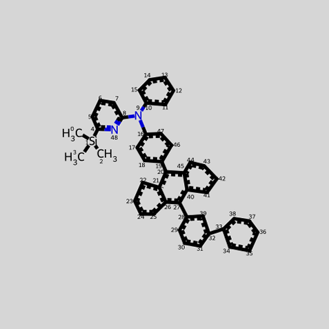 C[Si](C)(C)c1cccc(N(c2ccccc2)c2ccc(-c3c4ccccc4c(-c4cccc(-c5ccccc5)c4)c4ccccc34)cc2)n1